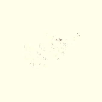 C=C(N)c1c(C)nc(C(C)c2cc(Cl)c(F)c(C(=O)NCCC#N)c2OC(C)C)n1CCC